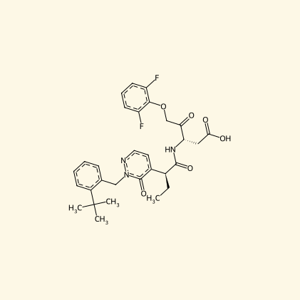 CC[C@H](C(=O)N[C@@H](CC(=O)O)C(=O)COc1c(F)cccc1F)c1ccnn(Cc2ccccc2C(C)(C)C)c1=O